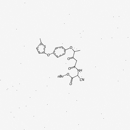 CCCCOC(=O)C(C#N)NC(=O)CC(=O)C(C)Oc1ccc(Oc2ccc(C)s2)cc1